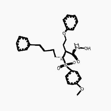 COc1ccc(S(=O)(=O)[C@H](CCCCc2ccccc2)C(CCOc2ccccc2)C(=O)NO)cc1